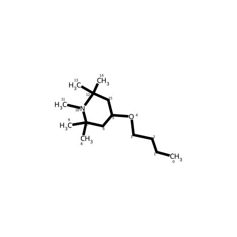 CCCCOC1CC(C)(C)N(C)C(C)(C)C1